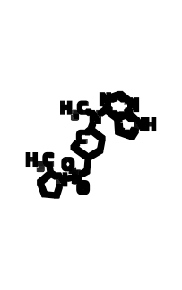 CC1CCCN1S(=O)(=O)CC1CCC(N(C)c2ncnc3[nH]ccc23)CC1